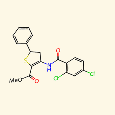 COC(=O)C1=C(NC(=O)c2ccc(Cl)cc2Cl)CC(c2ccccc2)S1